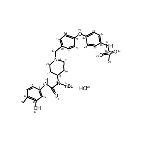 CCCCN(C(=O)Nc1ccc(C)c(O)c1)C1CCN(Cc2ccc(Oc3ccc(NS(C)(=O)=O)cc3)cc2)CC1.Cl